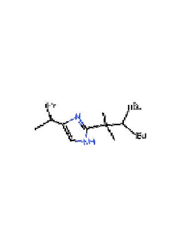 CCCCC(C(C)CC)C(C)(C)c1nc(C(C)C(C)C)c[nH]1